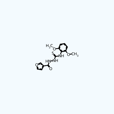 COc1cccc(OC)c1NC(=S)NNC(=O)c1ccoc1